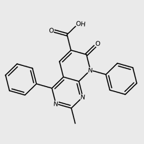 Cc1nc(-c2ccccc2)c2cc(C(=O)O)c(=O)n(-c3ccccc3)c2n1